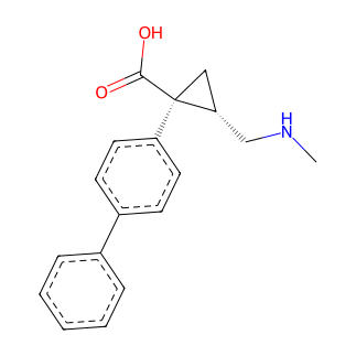 CNC[C@H]1C[C@@]1(C(=O)O)c1ccc(-c2ccccc2)cc1